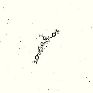 CC(=NC(=O)OCc1ccc([N+](=O)[O-])cc1)N[C@H]1CCN(C(=O)[C@@H]2C[C@H](S)CN2C(=O)OCc2ccc([N+](=O)[O-])cc2)C1